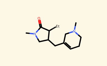 CCC1C(=O)N(C)CC1CC1=CCCN(C)C1